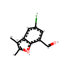 Cc1oc2c(C=O)cc(F)cc2c1C